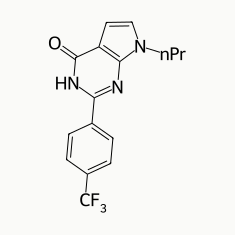 CCCn1ccc2c(=O)[nH]c(-c3ccc(C(F)(F)F)cc3)nc21